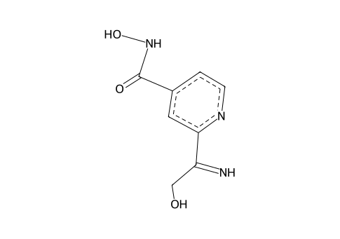 N=C(CO)c1cc(C(=O)NO)ccn1